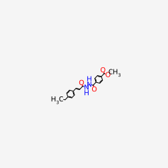 CCc1ccc(/C=C/C(=O)NNC(=O)c2ccc(C(=O)OC)cc2)cc1